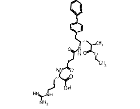 CCOC(=O)[C@H](C)C[C@@H](Cc1ccc(-c2ccccc2)cc1)NC(=O)CCC(=O)N[C@@H](CCCNC(=N)N)C(=O)O